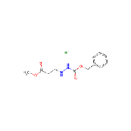 COC(=O)CCNNC(=O)OCc1ccccc1.Cl